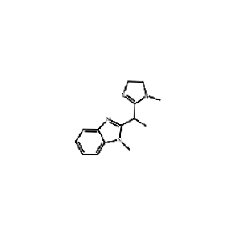 CC(C1=NCCN1C)c1nc2ccccc2n1C